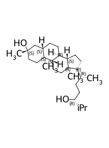 CC(C)[C@H](O)CC[C@@H](C)[C@H]1CC[C@H]2[C@@H]3CC[C@H]4C[C@@](C)(O)CC[C@]4(C)[C@H]3CC[C@]12C